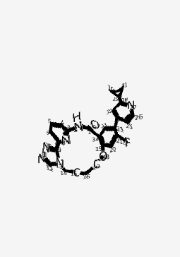 O=C1Nc2cccc(n2)-c2nncn2CCCCOc2cc(F)c(-c3ccnc(C4CC4)c3)cc21